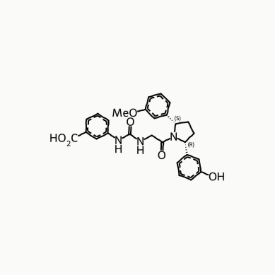 COc1cccc([C@@H]2CC[C@H](c3cccc(O)c3)N2C(=O)CNC(=O)Nc2cccc(C(=O)O)c2)c1